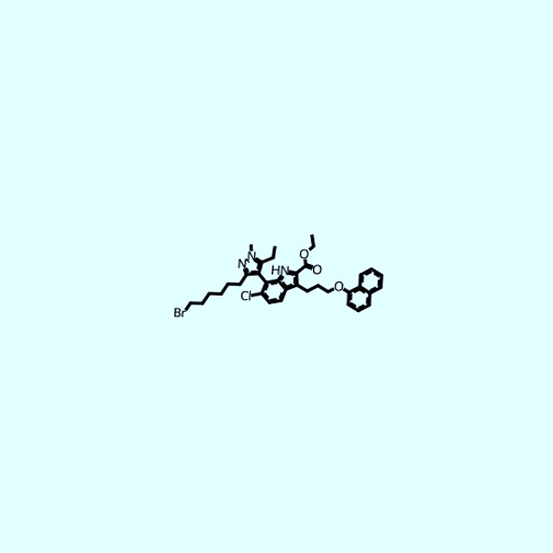 CCOC(=O)c1[nH]c2c(-c3c(CCCCCCBr)nn(C)c3CC)c(Cl)ccc2c1CCCOc1cccc2ccccc12